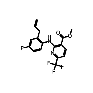 C=CCc1cc(F)ccc1Nc1nc(C(F)(F)F)ccc1C(=O)OC